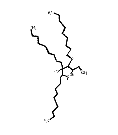 CCCCCCCCCOC(C(O)CO)C(O)(CCCCCCCCC)C(O)CCCCCCCCC